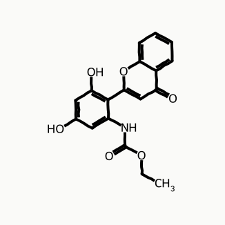 CCOC(=O)Nc1cc(O)cc(O)c1-c1cc(=O)c2ccccc2o1